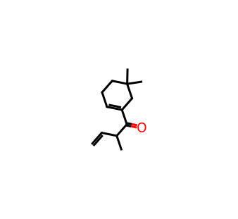 C=CC(C)C(=O)C1=CCCC(C)(C)C1